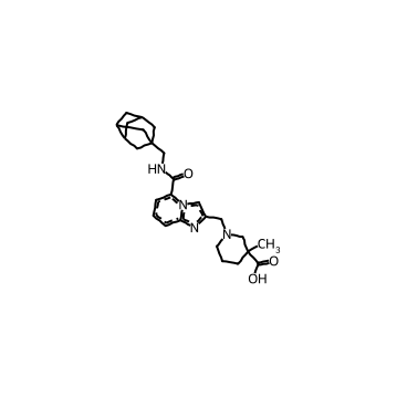 CC1(C(=O)O)CCCN(Cc2cn3c(C(=O)NCC45CC6CC(C4)C(C6)C5)cccc3n2)C1